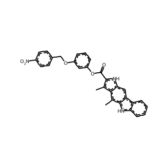 Cc1c(C(=O)Oc2cccc(OCc3ccc([N+](=O)[O-])cc3)c2)[nH]c2cc3c([nH]c4ccccc43)c(C)c12